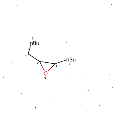 CCCCCC1OC1CCCC